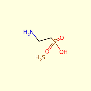 NCCS(=O)(=O)O.S